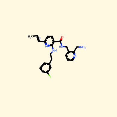 C/C=C/c1ccc(C(=O)NCc2cccnc2CN)c(NCCc2cccc(F)c2)n1